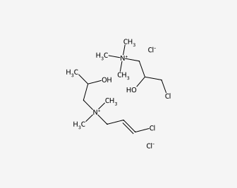 CC(O)C[N+](C)(C)CC=CCl.C[N+](C)(C)CC(O)CCl.[Cl-].[Cl-]